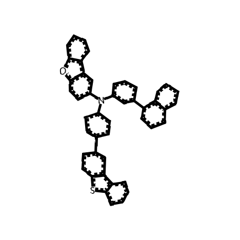 c1cc(-c2cccc3ccccc23)cc(N(c2ccc(-c3ccc4sc5ccccc5c4c3)cc2)c2ccc3oc4ccccc4c3c2)c1